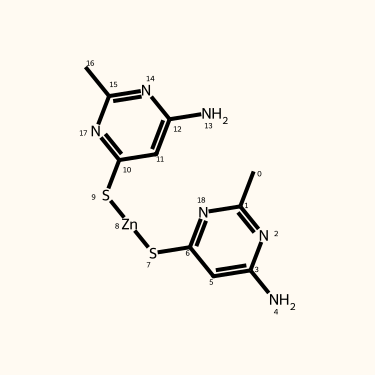 Cc1nc(N)cc([S][Zn][S]c2cc(N)nc(C)n2)n1